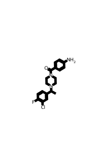 CC(c1ccc(F)c(Cl)c1)N1CCN(C(=O)c2ccc(N)cc2)CC1